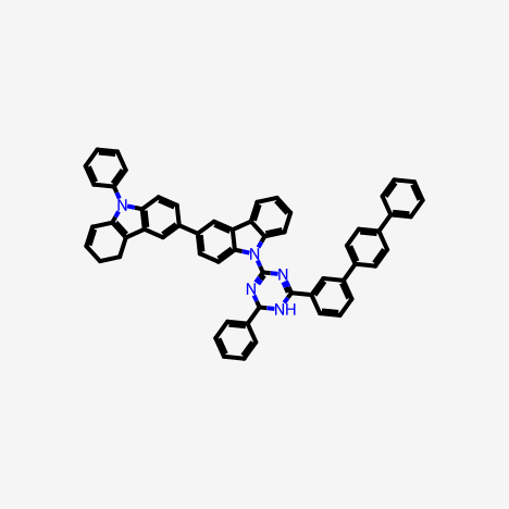 C1=Cc2c(c3cc(-c4ccc5c(c4)c4ccccc4n5C4=NC(c5ccccc5)NC(c5cccc(-c6ccc(-c7ccccc7)cc6)c5)=N4)ccc3n2-c2ccccc2)CC1